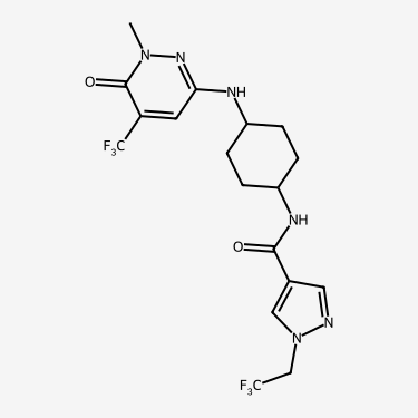 Cn1nc(NC2CCC(NC(=O)c3cnn(CC(F)(F)F)c3)CC2)cc(C(F)(F)F)c1=O